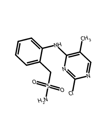 Cc1cnc(Cl)nc1Nc1ccccc1CS(N)(=O)=O